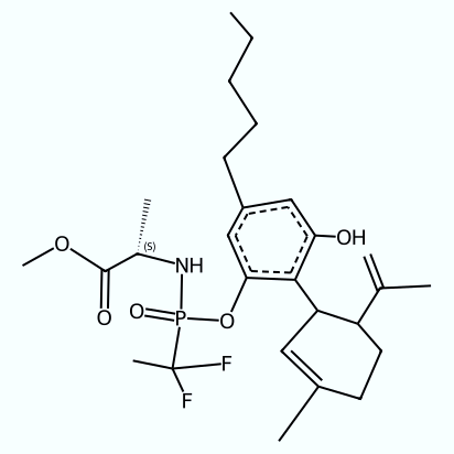 C=C(C)C1CCC(C)=CC1c1c(O)cc(CCCCC)cc1OP(=O)(N[C@@H](C)C(=O)OC)C(C)(F)F